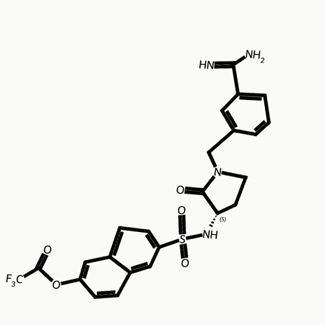 N=C(N)c1cccc(CN2CC[C@H](NS(=O)(=O)c3ccc4cc(OC(=O)C(F)(F)F)ccc4c3)C2=O)c1